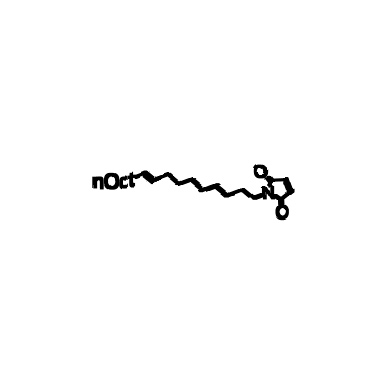 CCCCCCCC/C=C/CCCCCCCCN1C(=O)C=CC1=O